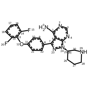 Nc1ncnc2c1c(-c1ccc(Oc3c(F)cccc3F)cc1)nn2[C@@H]1CCCNC1